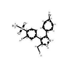 NS(=O)(=O)c1ccc(-c2c(-c3ccc(Br)cc3)noc2CF)cc1F